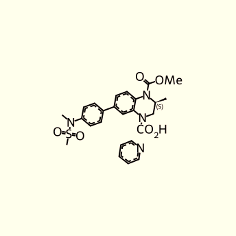 COC(=O)N1c2ccc(-c3ccc(N(C)S(C)(=O)=O)cc3)cc2N(C(=O)O)C[C@@H]1C.c1ccncc1